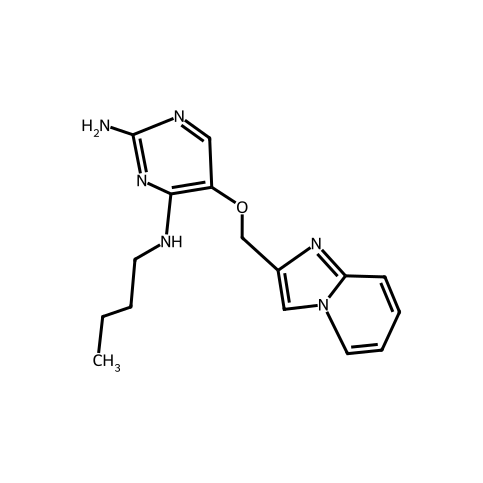 CCCCNc1nc(N)ncc1OCc1cn2ccccc2n1